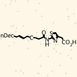 CCCCCCCCCCCC=CCCCCC(=O)Nc1nc(CC(=O)O)cs1